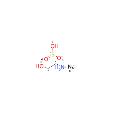 NCCO.O=S([O-])O.[Na+]